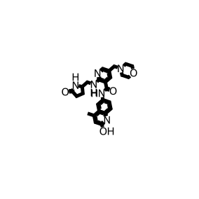 Cc1cc(O)nc2ccc(NC(=O)c3cc(CN4CCOCC4)cnc3NCC3CCC(=O)N3)cc12